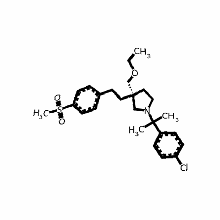 CCOC[C@]1(CCc2ccc(S(C)(=O)=O)cc2)CCN(C(C)(C)c2ccc(Cl)cc2)C1